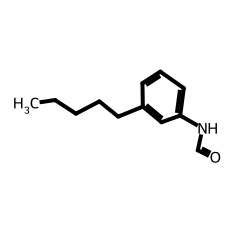 CCCCCc1cccc(NC=O)c1